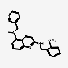 COc1ccccc1CNc1ccc2c(N(C)Cc3cccnc3)cccc2n1